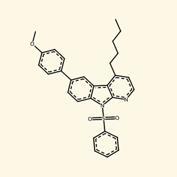 CCCCCc1ccnc2c1c1cc(-c3ccc(OC)cc3)ccc1n2S(=O)(=O)c1ccccc1